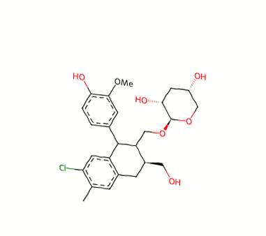 COc1cc(C2c3cc(Cl)c(C)cc3C[C@H](CO)C2CO[C@@H]2OC[C@@H](O)C[C@H]2O)ccc1O